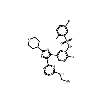 CC(C)CNc1nccc(-c2sc(N3CCOCC3)nc2-c2ccc(F)c(NS(=O)(=O)c3cc(F)ccc3F)c2)n1